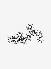 c1ccc(-c2cccc(-c3nc(-c4ccccc4)nc(-c4ccc5c(c4)oc4c(-n6c7ccccc7c7c8oc9ccccc9c8ccc76)cccc45)n3)c2)cc1